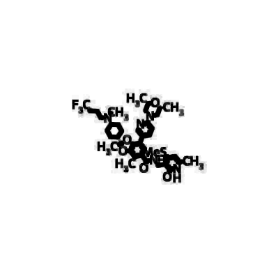 CSc1cc(C)[nH]c(=O)c1CNC(=O)c1cc(-c2ccc(N3C[C@@H](C)O[C@@H](C)C3)nc2)c2c(c1C)OC(C)([C@H]1CC[C@H](N(C)CCCC(F)(F)F)CC1)O2